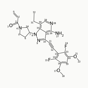 C=CC(=O)N1CCC(n2nc(C#Cc3c(F)c(OC)cc(OC)c3F)c3c(N)ncc(CC)c32)C1